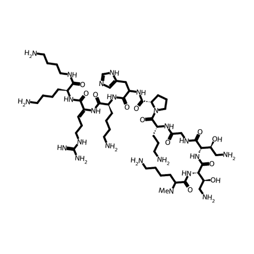 CNC(CCCCN)C(=O)N[C@H](C(=O)N[C@H](C(=O)NCC(=O)N[C@H](CCCN)C(=O)N1CCC[C@H]1C(=O)NC(Cc1cnc[nH]1)C(=O)N[C@@H](CCCCN)C(=O)N/C(=C\CCNC(=N)N)C(=O)N[C@@H](CCCCN)C(=O)NCCCCN)[C@@H](O)CN)[C@@H](O)CN